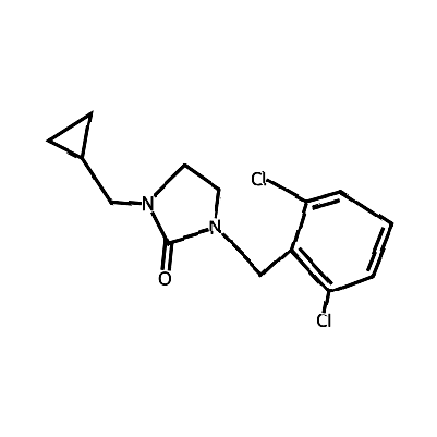 O=C1N(Cc2c(Cl)cccc2Cl)CCN1CC1CC1